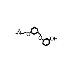 CN(C)CCOc1cccc(COc2cccc(O)c2)c1